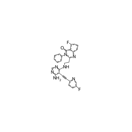 Nc1ncnc(NCCc2nc3cccc(F)c3c(=O)n2-c2ccccc2)c1C#Cc1ccc(F)cn1